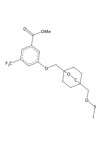 COC(=O)c1cc(OCC23CCC(COSI)(CC2)CO3)cc(C(F)(F)F)c1